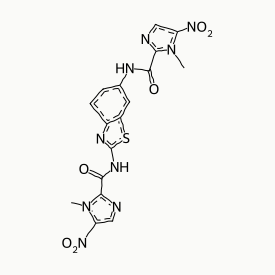 Cn1c([N+](=O)[O-])cnc1C(=O)Nc1ccc2nc(NC(=O)c3ncc([N+](=O)[O-])n3C)sc2c1